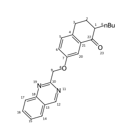 CCCCC1CCc2ccc(OCc3ncc4ccccc4n3)cc2C1=O